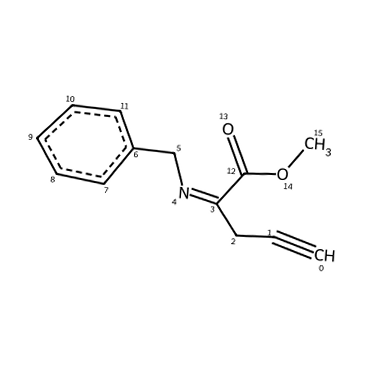 C#CCC(=NCc1ccccc1)C(=O)OC